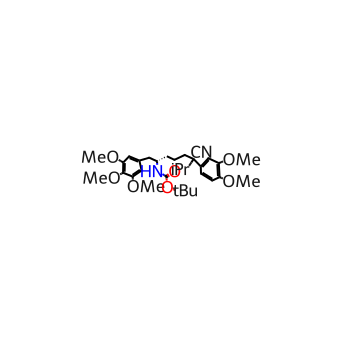 COc1ccc(C(C#N)(CCC[C@@H](Cc2cc(OC)c(OC)c(OC)c2)NC(=O)OC(C)(C)C)C(C)C)cc1OC